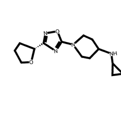 C1CO[C@@H](c2noc(N3CCC(NC4CC4)CC3)n2)C1